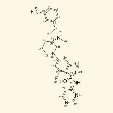 CN(C)[C@]1(CCc2cccc(C(F)(F)F)c2)CCCN(c2cc(F)c(S(=O)(=O)Nc3ccncn3)c(Cl)c2)C1